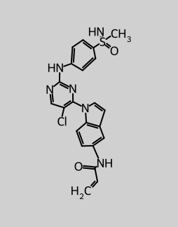 C=CC(=O)Nc1ccc2c(ccn2-c2nc(Nc3ccc(S(C)(=N)=O)cc3)ncc2Cl)c1